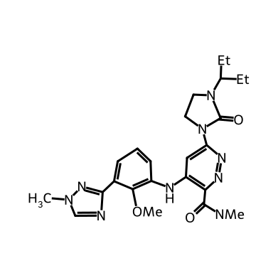 CCC(CC)N1CCN(c2cc(Nc3cccc(-c4ncn(C)n4)c3OC)c(C(=O)NC)nn2)C1=O